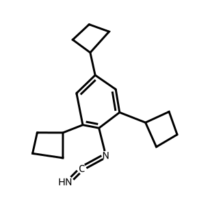 N=C=Nc1c(C2CCC2)cc(C2CCC2)cc1C1CCC1